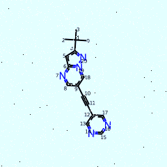 CC(C)(C)c1cc2ncc(C#Cc3cncnc3)cn2n1